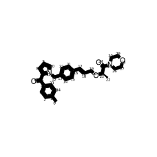 Cc1ccc(C(=O)c2cccn2Cc2ccc(C=CCO[C@H](C)C(=O)N3CCOCC3)cc2)cc1